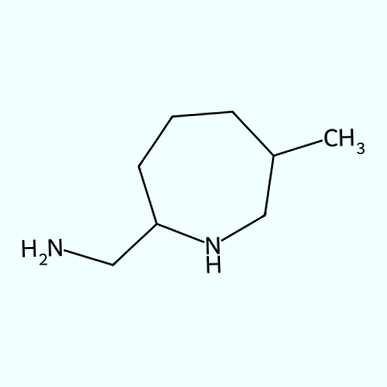 CC1CCCC(CN)NC1